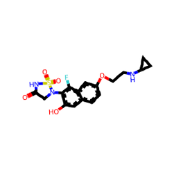 O=C1CN(c2c(O)cc3ccc(OCCNC4CC4)cc3c2F)S(=O)(=O)N1